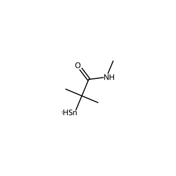 CNC(=O)[C](C)(C)[SnH]